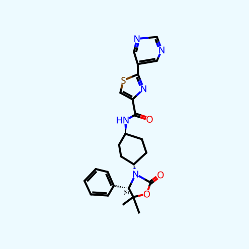 CC1(C)OC(=O)N([C@H]2CC[C@H](NC(=O)c3csc(-c4cncnc4)n3)CC2)[C@H]1c1ccccc1